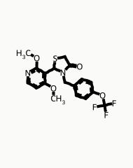 COc1ccnc(OC)c1C1SCC(=O)N1Cc1ccc(OC(F)(F)F)cc1